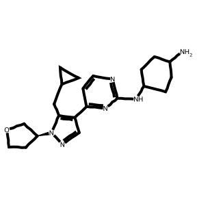 NC1CCC(Nc2nccc(-c3cnn([C@H]4CCOC4)c3CC3CC3)n2)CC1